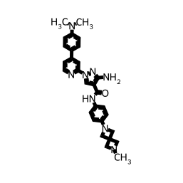 CN1CC2(C1)CN(c1ccc(NC(=O)c3cn(-c4cc(-c5ccc(N(C)C)cc5)ccn4)nc3N)cc1)C2